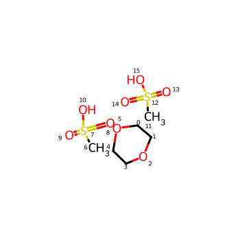 C1COCCO1.CS(=O)(=O)O.CS(=O)(=O)O